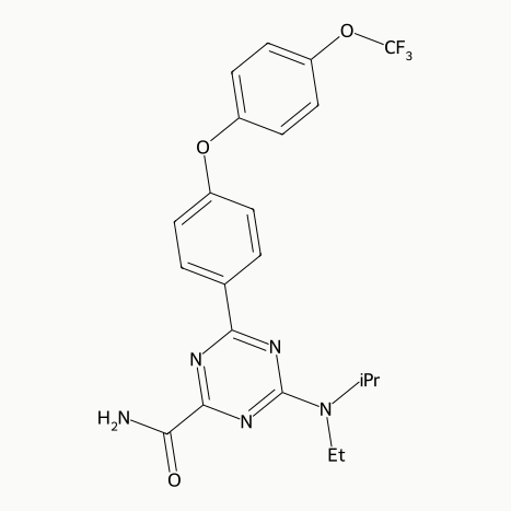 CCN(c1nc(C(N)=O)nc(-c2ccc(Oc3ccc(OC(F)(F)F)cc3)cc2)n1)C(C)C